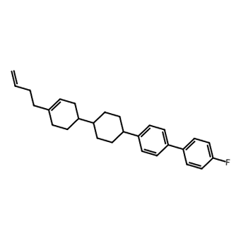 C=CCCC1=CCC(C2CCC(c3ccc(-c4ccc(F)cc4)cc3)CC2)CC1